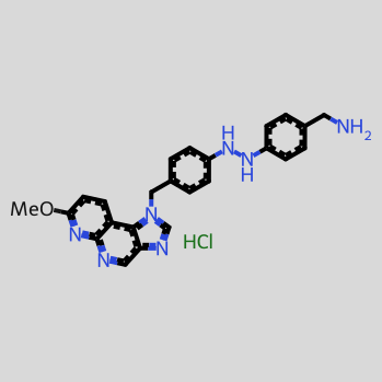 COc1ccc2c(ncc3ncn(Cc4ccc(NNc5ccc(CN)cc5)cc4)c32)n1.Cl